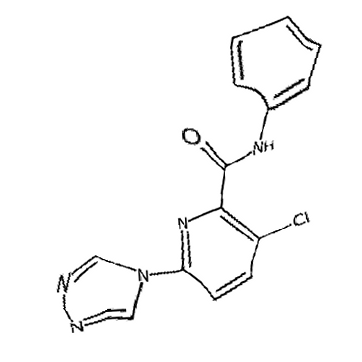 O=C(Nc1ccccc1)c1nc(-n2cnnc2)ccc1Cl